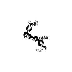 COC1(c2ccc(-c3cc4c(N5CCN(C(=O)NC(C)C)CC5)ccnn4c3)nc2)CCN(C(C)CF)CC1